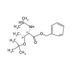 C[C@@H](OC(C)(C)C)[C@H](N[SiH](C)C)C(=O)OCc1ccccc1